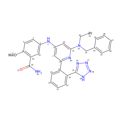 COc1ccc(Nc2cc(-c3ccccc3-c3nnn[nH]3)nc(N(Cc3ccccc3)CC(C)C)c2)cc1C(N)=O